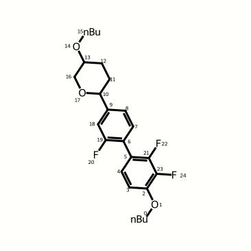 CCCCOc1ccc(-c2ccc(C3CCC(OCCCC)CO3)cc2F)c(F)c1F